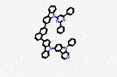 c1ccc(-c2cc(-n3c4ccccc4c4ccc(-c5ccc6c(-c7ccc8c(c7)c7ccccc7n8-c7ccc8c(c7)c7ccncc7n8-c7ccccc7)cccc6c5)cc43)nc(-c3ccccc3)n2)cc1